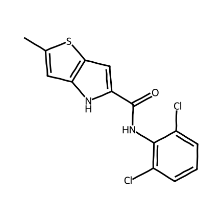 Cc1cc2[nH]c(C(=O)Nc3c(Cl)cccc3Cl)cc2s1